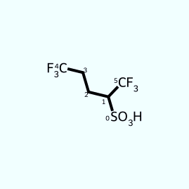 O=S(=O)(O)C(CCC(F)(F)F)C(F)(F)F